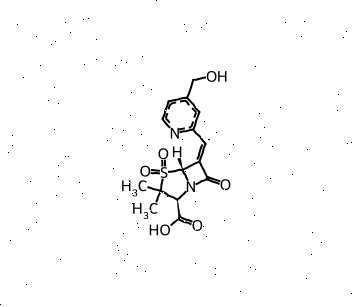 CC1(C)[C@H](C(=O)O)N2C(=O)/C(=C/c3cc(CO)ccn3)[C@H]2S1(=O)=O